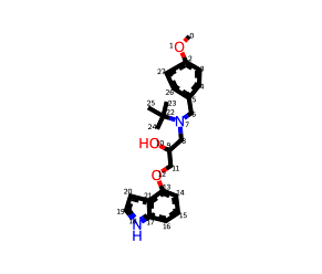 COc1ccc(CN(CC(O)COc2cccc3[nH]ccc23)C(C)(C)C)cc1